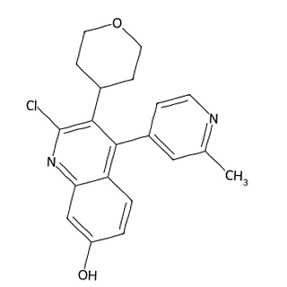 Cc1cc(-c2c(C3CCOCC3)c(Cl)nc3cc(O)ccc23)ccn1